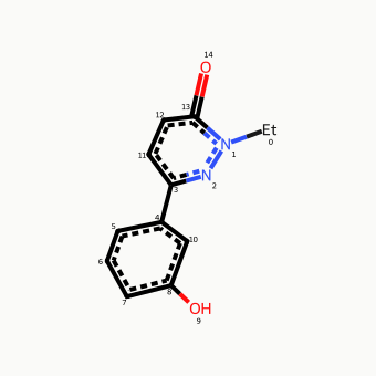 CCn1nc(-c2cccc(O)c2)ccc1=O